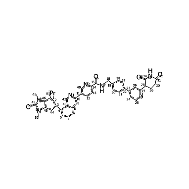 CC(C)c1cc(-c2cccc3cc(-c4ccc(C(=O)NCc5ccc(-c6ccnc(C7CCC(=O)NC7=O)c6)cc5)nc4)ncc23)cc2c1n(C)c(=O)n2C